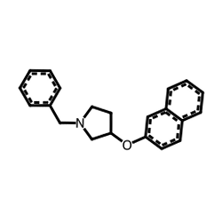 c1ccc(CN2CCC(Oc3ccc4ccccc4c3)C2)cc1